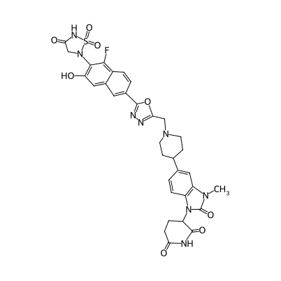 Cn1c(=O)n(C2CCC(=O)NC2=O)c2ccc(C3CCN(Cc4nnc(-c5ccc6c(F)c(N7CC(=O)NS7(=O)=O)c(O)cc6c5)o4)CC3)cc21